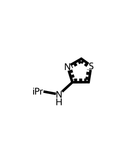 CC(C)Nc1cscn1